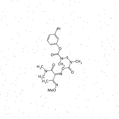 CON=C(C)C(=NOC(=O)N(C)SN(C)C(=O)Oc1cccc(C(C)C)c1)C(=O)N(C)C